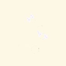 Cc1nc2cc(F)c(-c3cnn(C)c3)cn2c1C(C)c1ccccc1OC(F)F